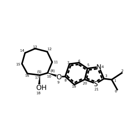 CC(C)c1nc2ccc(O[C@@H]3CCCCCC[C@@H]3O)cc2s1